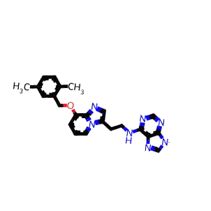 Cc1ccc(C)c(COc2cccn3c(CCNc4ncnc5c4N=C[N]5)cnc23)c1